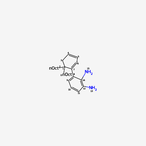 CCCCCCCCC1(CCCCCCCC)CC=CC=C1c1cccc(N)c1N